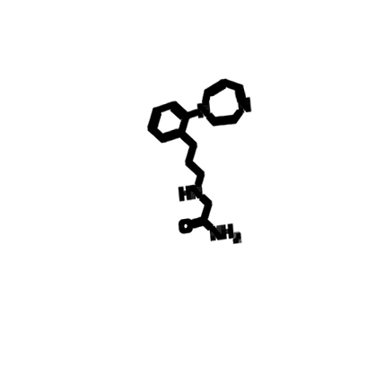 NC(=O)CNCCCc1ccccc1N1C=CC=NC=C1